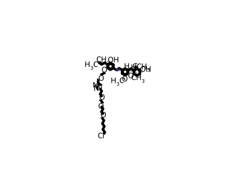 COc1cc(/C=C/c2cc(O)c(CC=C(C)C)c(OCCOCc3cn(CCOCCOCCOCCCCCCCl)nn3)c2)cc2c1O[C@]1(C)CC[C@@H](O)C(C)(C)[C@H]1C2